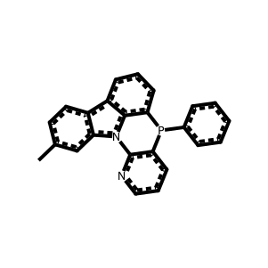 Cc1ccc2c3cccc4c3n(c2c1)-c1ncccc1P4c1ccccc1